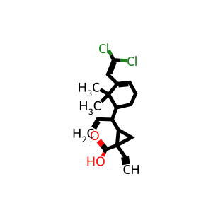 C#CC1(C(=O)O)CC1C(C=C)C1CCC=C(C=C(Cl)Cl)C1(C)C